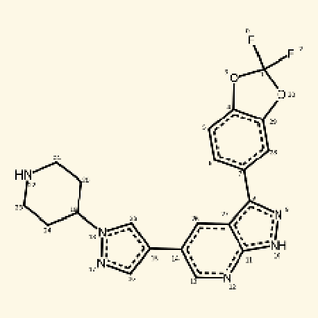 FC1(F)Oc2ccc(-c3n[nH]c4ncc(-c5cnn(C6CCNCC6)c5)cc34)cc2O1